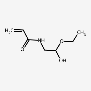 C=CC(=O)NCC(O)OCC